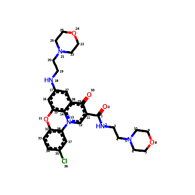 O=C(NCCN1CCOCC1)c1cn2c3c(cc(NCCN4CCOCC4)cc3c1=O)Oc1ccc(Cl)cc1-2